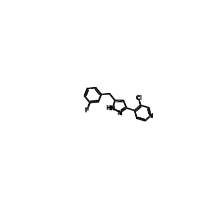 Fc1cccc(Cc2cc(-c3ccncc3Cl)n[nH]2)c1